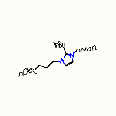 CCCCCCCCCCCCCN1C=CN(CCCCCCCCC)C1CCCC